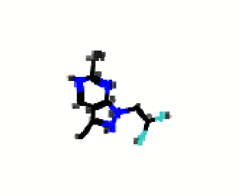 Cc1nn(CC(F)F)c2nc(C(C)C)ncc12